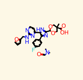 CC1(C(=O)O)COC(c2nc(-c3ccc(F)cc3)c(-c3ccnc(NCc4ccco4)n3)[nH]2)OC1.CN(C)C=O